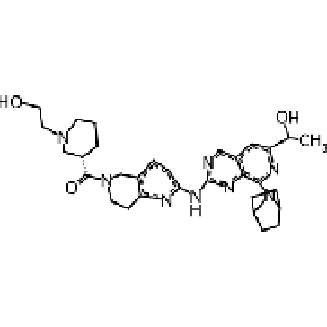 CC(O)c1cc2cnc(Nc3ccc4c(n3)CCN(C(=O)[C@H]3CCCN(CCO)C3)C4)nc2c(N2C3CCC2CC3)n1